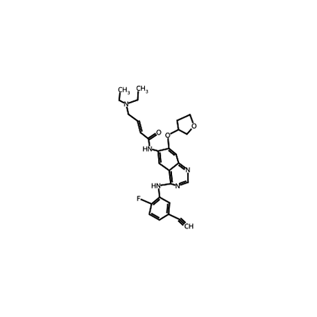 C#Cc1ccc(F)c(Nc2ncnc3cc(OC4CCOC4)c(NC(=O)/C=C/CN(CC)CC)cc23)c1